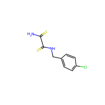 NC(=S)C(=S)NCc1ccc(Cl)cc1